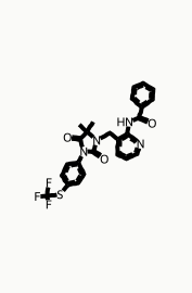 CC1(C)C(=O)N(c2ccc(SC(F)(F)F)cc2)C(=O)N1Cc1cccnc1NC(=O)c1ccccc1